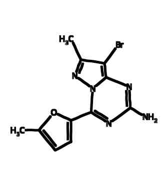 Cc1ccc(-c2nc(N)nc3c(Br)c(C)nn23)o1